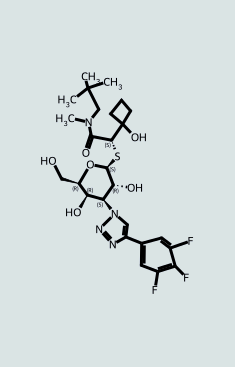 CN(CC(C)(C)C)C(=O)[C@@H](S[C@@H]1O[C@H](CO)[C@H](O)[C@H](n2cc(-c3cc(F)c(F)c(F)c3)nn2)[C@H]1O)C1(O)CCC1